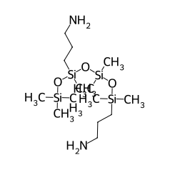 C[Si](C)(C)O[Si](C)(CCCN)O[Si](C)(C)O[Si](C)(C)CCCN